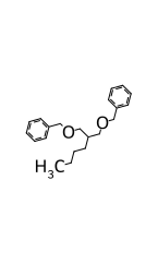 CCCCC(COCc1ccccc1)COCc1ccccc1